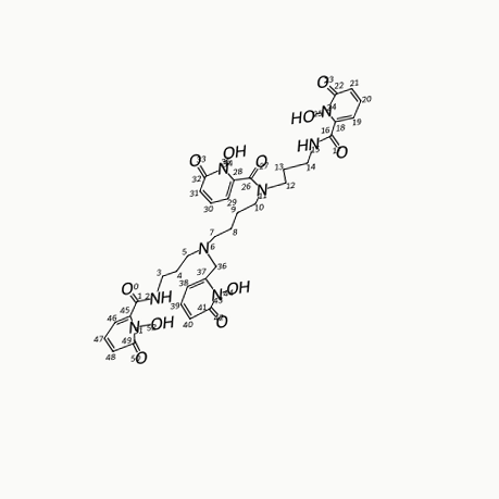 O=C(NCCCN(CCCCN(CCCNC(=O)c1cccc(=O)n1O)C(=O)c1cccc(=O)n1O)Cc1cccc(=O)n1O)c1cccc(=O)n1O